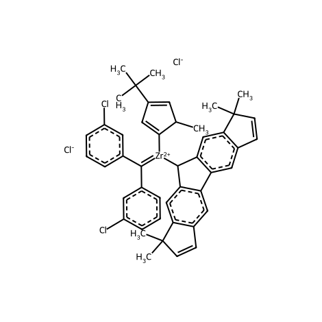 CC1C=C(C(C)(C)C)C=[C]1[Zr+2](=[C](c1cccc(Cl)c1)c1cccc(Cl)c1)[CH]1c2cc3c(cc2-c2cc4c(cc21)C(C)(C)C=C4)C=CC3(C)C.[Cl-].[Cl-]